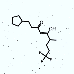 CC(CCC(F)(F)F)/C(O)=C/C(=O)CCC1CCCC1